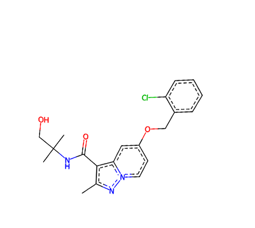 Cc1nn2ccc(OCc3ccccc3Cl)cc2c1C(=O)NC(C)(C)CO